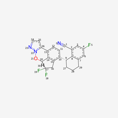 N#Cc1cc(F)cc2c1[C@@H](c1ccc3c4c1CC(F)(F)[C@H]4On1nccc1-3)CCC2